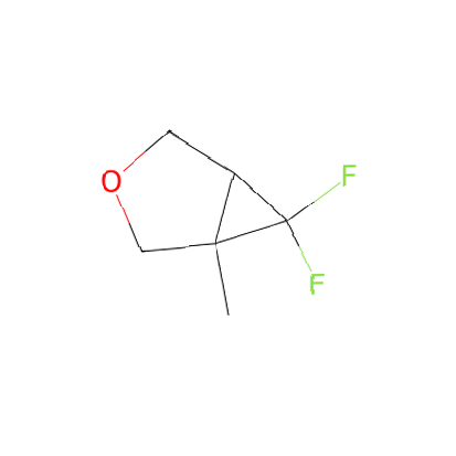 CC12COCC1C2(F)F